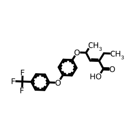 CC/C(=C\C(C)Oc1ccc(Oc2ccc(C(F)(F)F)cc2)cc1)C(=O)O